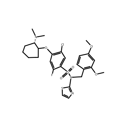 COc1ccc(CN(c2nccs2)S(=O)(=O)c2cc(Cl)c(OC3CCCC[C@@H]3N(C)C)cc2F)c(OC)c1